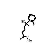 CC(C)(C)OC(=O)CCCC(C)(C#N)c1ccccc1Cl